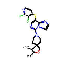 CC1[C@H](C)OCC12CCN(c1ncc(Sc3ccnc(Cl)c3Cl)c3nccn13)CC2